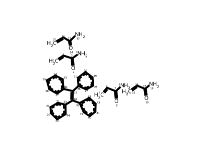 C=CC(N)=O.C=CC(N)=O.C=CC(N)=O.C=CC(N)=O.c1ccc(C(=C(c2ccccc2)c2ccccc2)c2ccccc2)cc1